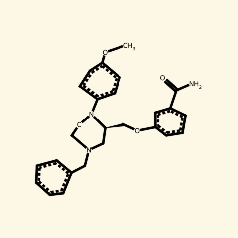 COc1ccc(N2CCN(Cc3ccccc3)C[C@@H]2COc2cccc(C(N)=O)c2)cc1